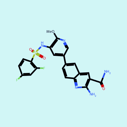 COc1ncc(-c2ccc3nc(N)c(C(N)=O)cc3c2)cc1NS(=O)(=O)c1ccc(F)cc1F